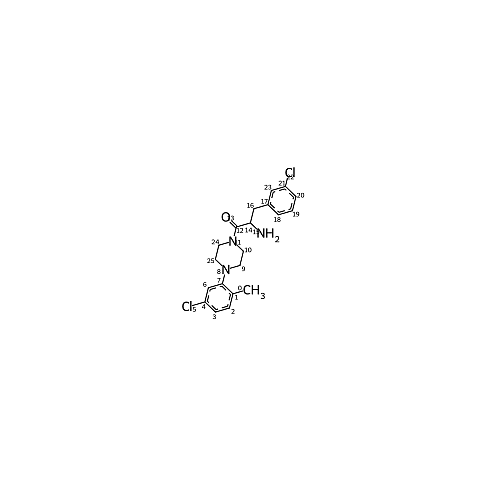 Cc1ccc(Cl)cc1N1CCN(C(=O)C(N)Cc2cccc(Cl)c2)CC1